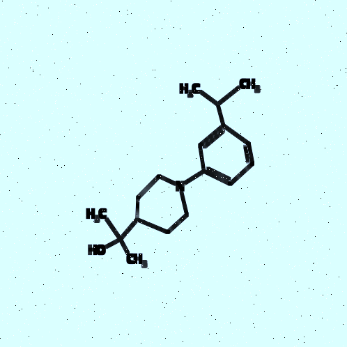 CC(C)c1cccc(N2CCC(C(C)(C)O)CC2)c1